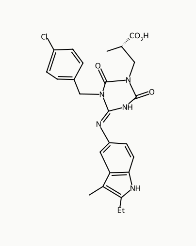 CCc1[nH]c2ccc(/N=c3\[nH]c(=O)n(C[C@H](C)C(=O)O)c(=O)n3Cc3ccc(Cl)cc3)cc2c1C